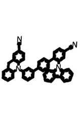 N#Cc1ccc2c(c1)Cc1ccccc1N2c1cccc(-c2ccc(-c3ccc(C#N)cc3-n3c4ccccc4c4ccccc43)cc2)c1